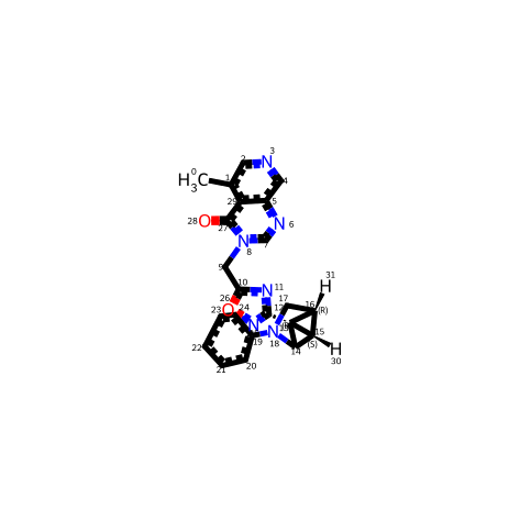 Cc1cncc2ncn(Cc3nc([C@@]45C6[C@H]4[C@H]5CN6c4ccccc4)no3)c(=O)c12